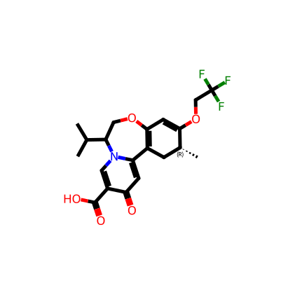 CC(C)C1COC2=C(C[C@@H](C)C(OCC(F)(F)F)=C2)c2cc(=O)c(C(=O)O)cn21